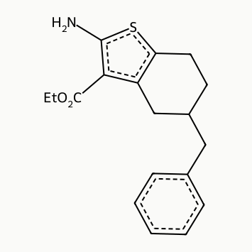 CCOC(=O)c1c(N)sc2c1CC(Cc1ccccc1)CC2